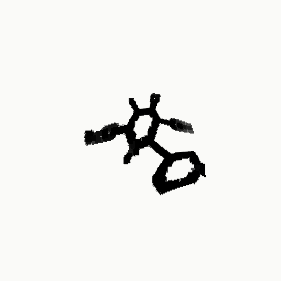 CC(=O)Oc1c(C)c(=O)c(O)c(-c2cccnc2)n1C